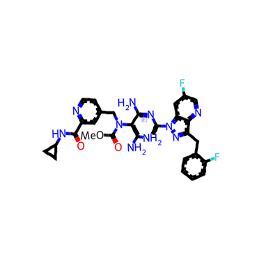 C=C(/N=C(/N)C(=C(N)N)N(Cc1ccnc(C(=O)NC2CC2)c1)C(=O)OC)n1nc(Cc2ccccc2F)c2ncc(F)cc21